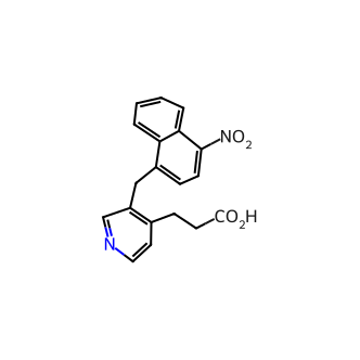 O=C(O)CCc1ccncc1Cc1ccc([N+](=O)[O-])c2ccccc12